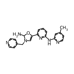 Cc1ccnc(Nc2cccc(C3=CN(Cc4ccncc4)C(N)O3)n2)c1